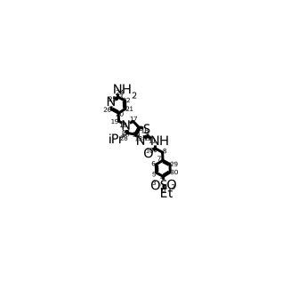 CCS(=O)(=O)c1ccc(CC(=O)Nc2nc3c(s2)CN(Cc2ccc(N)nc2)[C@H]3C(C)C)cc1